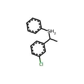 CC([SiH2]c1ccccc1)c1cccc(Cl)c1